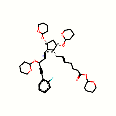 O=C(CCCC=CC[C@@H]1[C@@H](/C=C/C(C#Cc2ccccc2F)OC2CCCCO2)[C@H](OC2CCCCO2)C[C@@H]1OC1CCCCO1)OC1CCCCO1